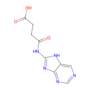 O=C(O)CCC(=O)Nc1nc2ncncc2[nH]1